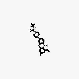 CCc1cc(C)cc2c1Nc1ccc(N3CCN(C(=O)OC(C)(C)C)CC3)cc1S2